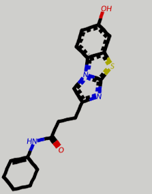 O=C(CCc1cn2c(n1)sc1cc(O)ccc12)NC1=CCCCC1